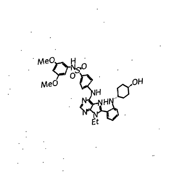 CCn1c(-c2ccccc2N[C@H]2CC[C@H](O)CC2)nc2c(Nc3ccc(S(=O)(=O)Nc4cc(OC)cc(OC)c4)cc3)ncnc21